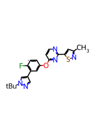 Cc1cc(-c2nccc(Oc3c[c]c(F)c(-c4cnn(C(C)(C)C)c4)c3)n2)sn1